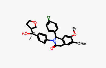 COc1cc2c(cc1OC(C)C)C(c1ccc(Cl)cc1)N(c1ccc([C@@](C)(O)C3CCOC3)cc1)C(=O)C2